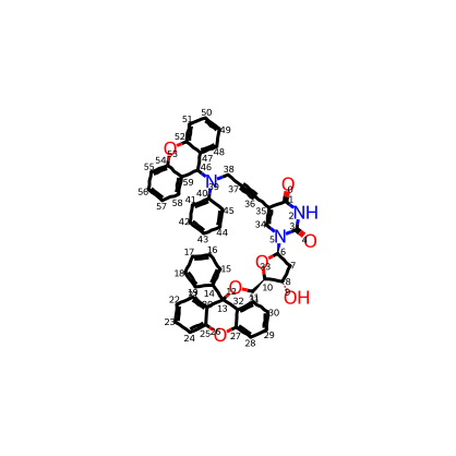 O=c1[nH]c(=O)n([C@H]2C[C@H](O)[C@@H](COC3(c4ccccc4)c4ccccc4Oc4ccccc43)O2)cc1C#CCN(c1ccccc1)C1c2ccccc2Oc2ccccc21